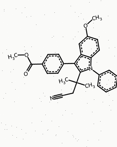 COC(=O)c1ccc(-c2c(C(C)(C)CC#N)n(-c3ccccc3)c3ccc(OC)cc23)cc1